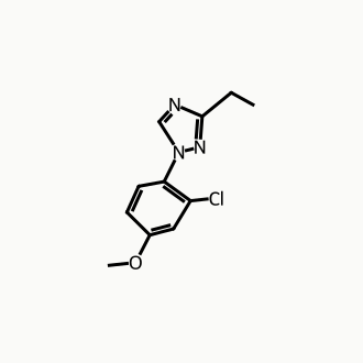 CCc1ncn(-c2ccc(OC)cc2Cl)n1